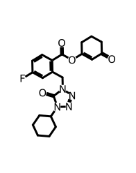 O=C1C=C(OC(=O)c2ccc(F)cc2Cn2nnn(C3CCCCC3)c2=O)CCC1